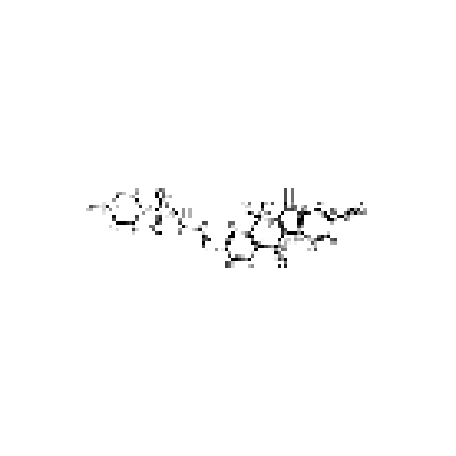 CN1CCN(S(=O)(=O)NCCOc2ccc3c(c2)C(C)(C)c2[nH]c4cc(C#N)ccc4c2C3=O)CC1